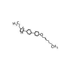 CCCC/C=C/COc1ccc(-c2ccc(-c3ncc(CCC)s3)cc2)cc1